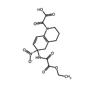 CCOC(=O)C(=O)NC1([N+](=O)[O-])C=CC2=C(CCCN2C(=O)C(=O)O)C1